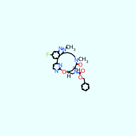 CN1CCCc2c3c(cc(F)cc3nn2C)-c2ccnc(n2)O[C@H]2C[C@@H](C1=O)N(C(=O)OCc1ccccc1)C2